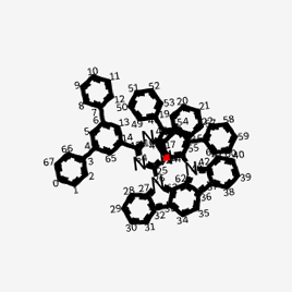 c1ccc(-c2cc(-c3ccccc3)cc(-c3nc(-c4ccccc4)nc(-n4c5ccccc5c5ccc6c7ccccc7n(-c7ccc(-c8ccccc8)cc7-c7ccccc7)c6c54)n3)c2)cc1